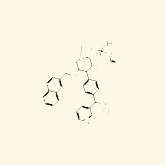 CC(C)(C)OC=O.COC(c1ccc(C2CCNCC2OCc2ccc3ccccc3c2)cc1)c1cccnc1